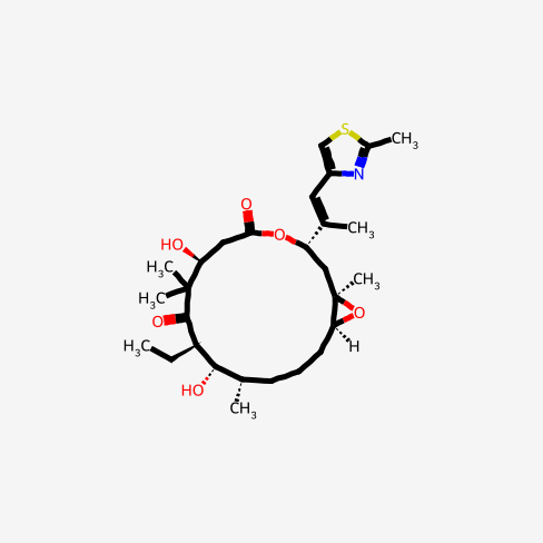 CC[C@H]1C(=O)C(C)(C)[C@@H](O)CC(=O)O[C@H](C(C)=Cc2csc(C)n2)C[C@@]2(C)O[C@H]2CCC[C@H](C)[C@@H]1O